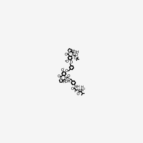 COc1cc2c(cc1OCc1cccc(COc3cc4c(cc3OC)C(=O)N3CCC[C@H]3[C@H](O)N4C(=O)OC(C)(C)C)c1)N(C(=O)OCc1ccc(NC(=O)[C@H](C)NC(=O)[C@@H](N)C(C)C)cc1)[C@@H](O)[C@@H]1CCCN1C2=O